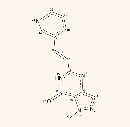 Cn1ncc2nc(/C=C/c3cccnc3)[nH]c(=O)c21